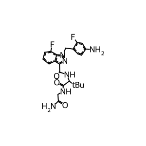 CC(C)(C)C(NC(=O)c1nn(Cc2ccc(N)cc2F)c2c(F)cccc12)C(=O)NCC(N)=O